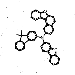 CC1(C)c2ccccc2-c2cc(N(c3ccc4c(c3)oc3ccccc34)c3ccc4ccc5oc6ccccc6c5c4c3)ccc21